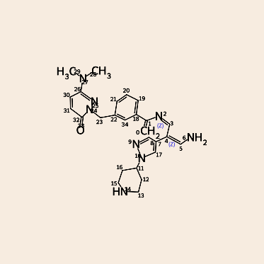 C=C(/N=C\C(=C/N)c1cnn(C2CCNCC2)c1)c1cccc(Cn2nc(N(C)C)ccc2=O)c1